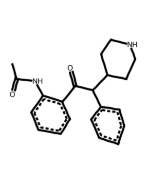 CC(=O)Nc1ccccc1C(=O)C(c1ccccc1)C1CCNCC1